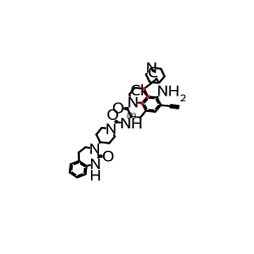 C#Cc1cc(C[C@@H](NC(=O)N2CCC(N3CCc4ccccc4NC3=O)CC2)C(=O)N2CCC(C3CN4CCC3CC4)CC2)cc(Cl)c1N